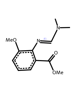 COC(=O)c1cccc(OC)c1/N=C/N(C)C